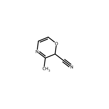 CC1=NC=COC1C#N